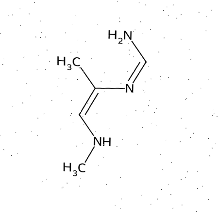 CN/C=C(C)\N=C/N